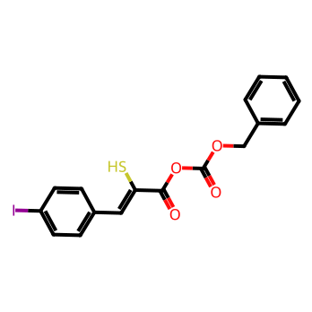 O=C(OCc1ccccc1)OC(=O)C(S)=Cc1ccc(I)cc1